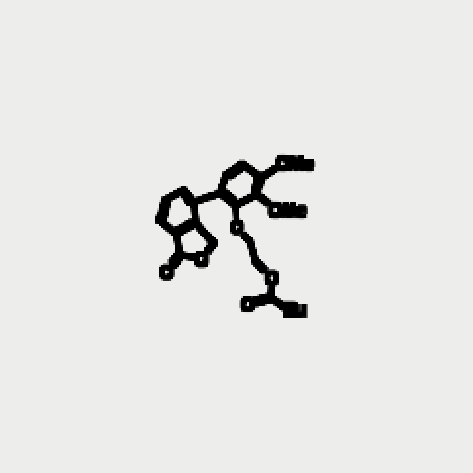 CCC(C)C(=O)OCCOc1c(-c2cccc3c2COC3=O)ccc(OC)c1OC